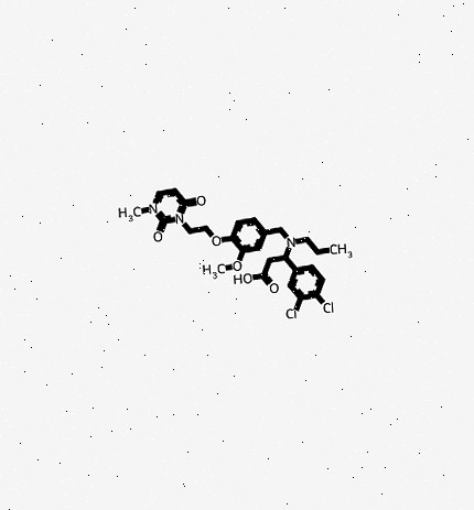 CCCN(Cc1ccc(OCCn2c(=O)ccn(C)c2=O)c(OC)c1)C(CC(=O)O)c1ccc(Cl)c(Cl)c1